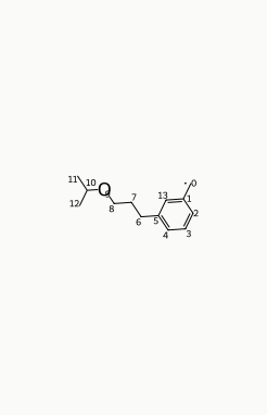 [CH2]c1cccc(CCCOC(C)C)c1